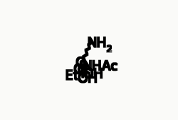 CCC1OC(OCCCCCCN)C(NC(C)=O)C(O)C1O